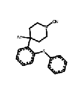 CC(=O)C1(c2ccccc2Sc2ccccc2)CCN(C#N)CC1